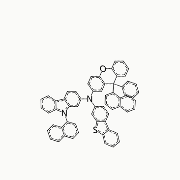 c1ccc(C2(c3cccc4ccccc34)c3ccccc3Oc3ccc(N(c4ccc5c(c4)sc4ccccc45)c4ccc5c6ccccc6n(-c6cccc7ccccc67)c5c4)cc32)cc1